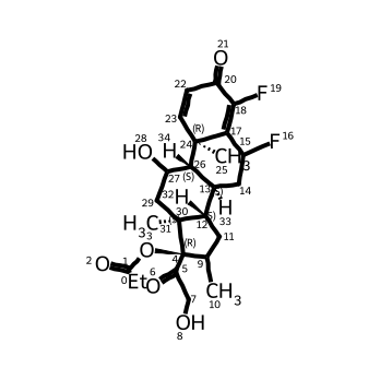 CCC(=O)O[C@]1(C(=O)CO)C(C)C[C@H]2[C@@H]3CC(F)C4=C(F)C(=O)C=C[C@]4(C)[C@H]3C(O)C[C@@]21C